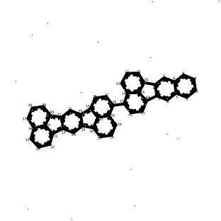 c1ccc2cc3c(cc2c1)-c1cccc2c(-c4ccc5c6cc7c(cc6c6cccc4c65)c4cccc5cccc7c54)ccc-3c12